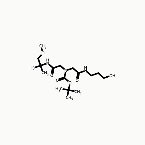 COCC(C)(S)NC(=O)CN(CC(=O)NCCCO)C(=O)OC(C)(C)C